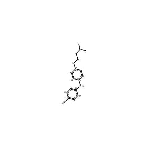 CN(C)CCCc1ccc(Sc2ccc(F)cc2)cc1